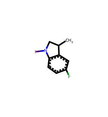 CC1CN(I)c2ccc(F)cc21